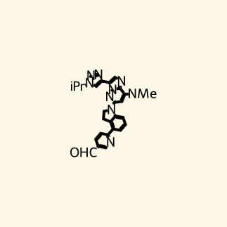 CNc1cc(N2CCc3c(-c4ccc(C=O)cn4)cccc32)nn2c(-c3cn(C(C)C)nn3)cnc12